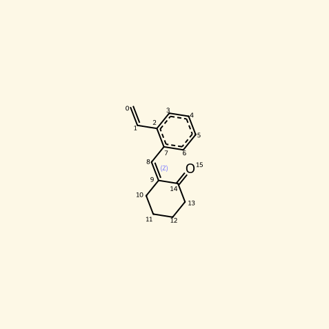 C=Cc1ccccc1/C=C1/CCCCC1=O